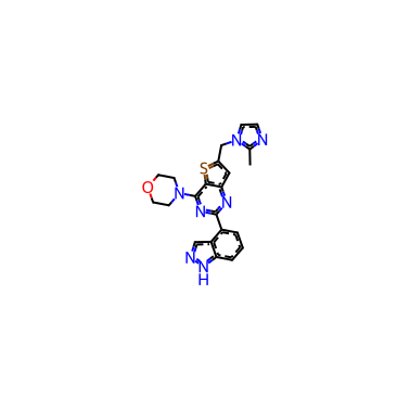 Cc1nccn1Cc1cc2nc(-c3cccc4[nH]ncc34)nc(N3CCOCC3)c2s1